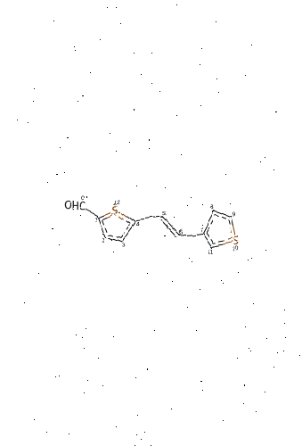 O=Cc1ccc(/C=C/c2ccsc2)s1